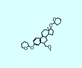 COCC1CC2C(CC[C@]3(C)C(OC4CCCCO4)CCC23)c2ccc(OC3CCCCO3)cc21